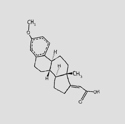 COc1ccc2c(c1)CC[C@@H]1[C@@H]2CC[C@]2(C)C(=CC(=O)O)CC[C@@H]12